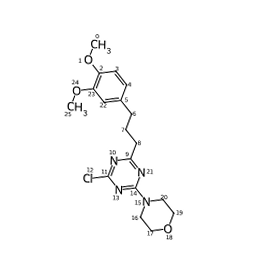 COc1ccc(CCCc2nc(Cl)nc(N3CCOCC3)n2)cc1OC